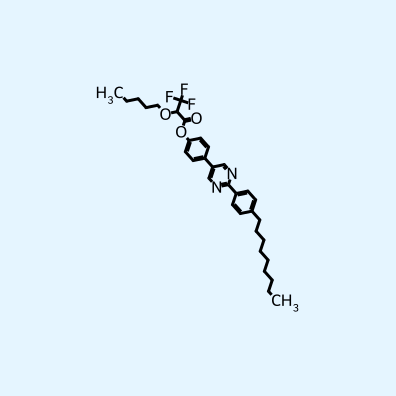 CCCCCCCCCc1ccc(-c2ncc(-c3ccc(OC(=O)C(OCCCCC)C(F)(F)F)cc3)cn2)cc1